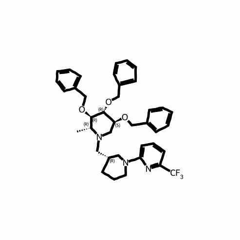 C[C@@H]1[C@@H](OCc2ccccc2)[C@H](OCc2ccccc2)[C@@H](OCc2ccccc2)CN1C[C@H]1CCCN(c2cccc(C(F)(F)F)n2)C1